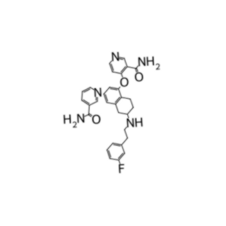 NC(=O)c1cccnc1.NC(=O)c1cnccc1Oc1cccc2c1CCC(NCCc1cccc(F)c1)C2